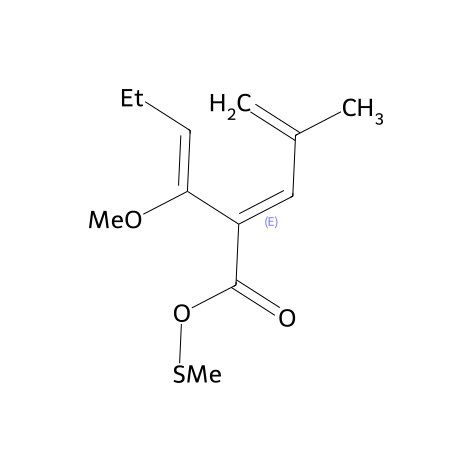 C=C(C)/C=C(/C(=O)OSC)C(=CCC)OC